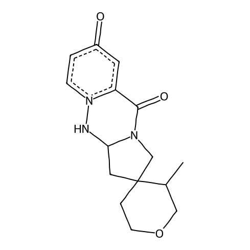 CC1COCCC12CC1Nn3ccc(=O)cc3C(=O)N1C2